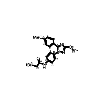 COc1ccc(-c2nc(OC(C)C)nn2-c2ccc(NC(=O)CC(C)(C)C)cc2)cc1